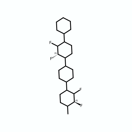 CC1CCC(C2CCC(C3CCC(C4CCCCC4)C(F)[C@H]3F)CC2)C(F)[C@H]1F